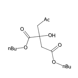 CCCCOC(=O)CC(O)(CC(C)=O)C(=O)OCCCC